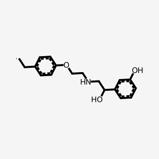 [CH2]Cc1ccc(OCCNCC(O)c2cccc(O)c2)cc1